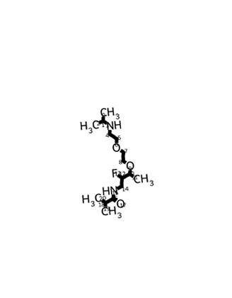 CC(C)NCCOCCOC(C)C(F)CNC(=O)C(C)C